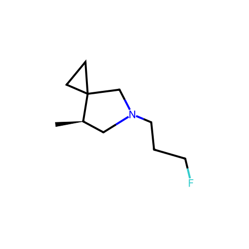 C[C@@H]1CN(CCCF)CC12CC2